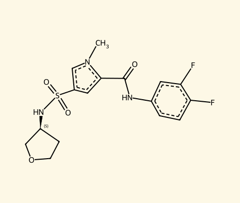 Cn1cc(S(=O)(=O)N[C@H]2CCOC2)cc1C(=O)Nc1ccc(F)c(F)c1